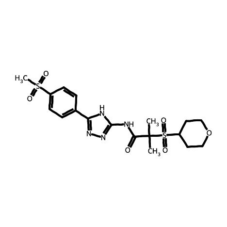 CC(C)(C(=O)Nc1nnc(-c2ccc(S(C)(=O)=O)cc2)[nH]1)S(=O)(=O)C1CCOCC1